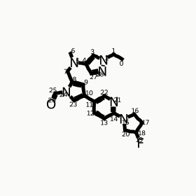 CCn1cc(N(C)Cc2cc(-c3ccc(N4CCC(F)C4)nc3)cn2C=O)cn1